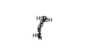 O=C(O)c1ccc(OCCOCCOCCN2CCC(c3ccc4c(c3)[nH]c3ccncc34)CC2)cc1C(=O)O